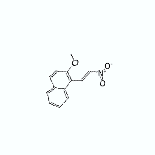 COc1ccc2ccccc2c1C=C[N+](=O)[O-]